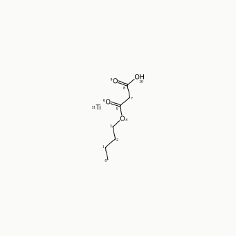 CCCCOC(=O)CC(=O)O.[Ti]